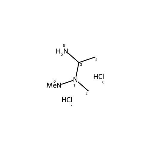 CNN(C)C(C)N.Cl.Cl